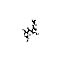 COC(=O)NC(C(=O)C1CN(C)CC1CNC(C)C)C(C)C